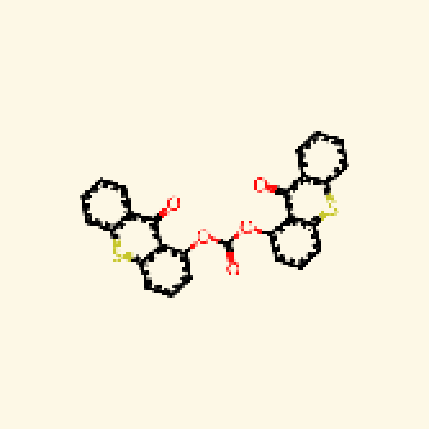 O=C(Oc1cccc2sc3ccccc3c(=O)c12)Oc1cccc2sc3ccccc3c(=O)c12